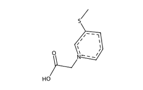 CSc1ccc[n+](CC(=O)O)c1